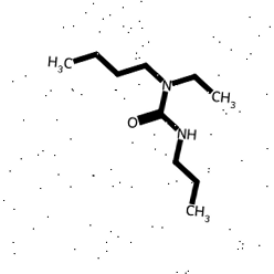 CCCCN(CC)C(=O)NCCC